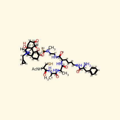 CC(=O)NC(CS)C(=O)NC(C)C(=O)NC(C)C(=O)NC(CCCCNC(=O)C(N)Cc1ccccc1)C(=O)NCCN(C)C(=S)Oc1ccc2c3c1O[C@H]1C(=O)CC[C@@]4(O)[C@@H](C2)N(CC2CC2)CC[C@]314